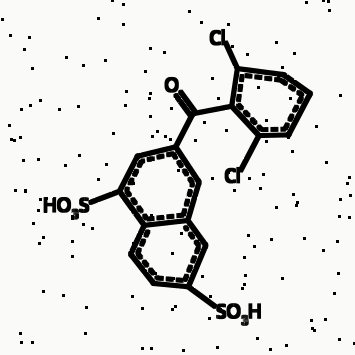 O=C(c1cc(S(=O)(=O)O)c2ccc(S(=O)(=O)O)cc2c1)c1c(Cl)cccc1Cl